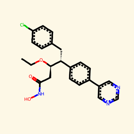 CCO[C@H](CC(=O)NO)[C@H](Cc1ccc(Cl)cc1)c1ccc(-c2cncnc2)cc1